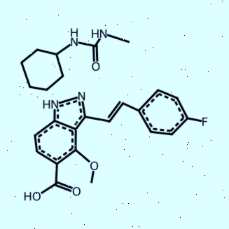 CNC(=O)NC1CCCCC1.COc1c(C(=O)O)ccc2[nH]nc(/C=C/c3ccc(F)cc3)c12